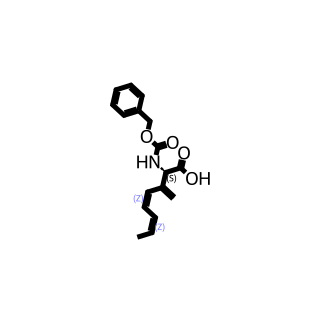 C=C(/C=C\C=C/C)[C@H](NC(=O)OCc1ccccc1)C(=O)O